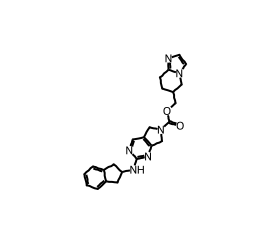 O=C(OCC1CCc2nccn2C1)N1Cc2cnc(NC3Cc4ccccc4C3)nc2C1